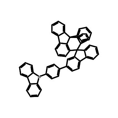 c1ccc(C23c4ccccc4-c4cccc(c42)C2(c4ccccc4-c4ccc(-c5ccc(-n6c7ccccc7c7ccccc76)cc5)cc42)c2ccccc23)cc1